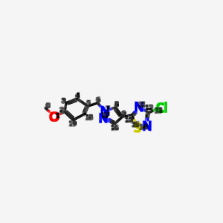 COc1ccc(Cn2cc(-c3nc(Cl)ns3)cn2)cc1